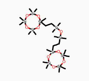 C[Si](C)(CC[Si]1(C)O[Si](C)(C)O[Si](C)(C)O[Si](C)(C)O1)O[Si](C)(C)CC[Si]1(C)O[Si](C)(C)O[Si](C)(C)O[Si](C)(C)O1